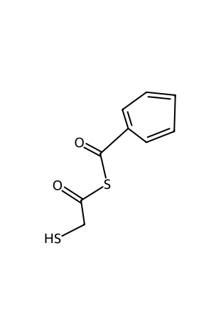 O=C(CS)SC(=O)c1ccccc1